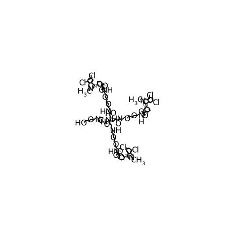 CN1Cc2c(Cl)cc(Cl)cc2[C@H](c2cccc(S(=O)(=O)NCCOCCOCCNCCCC(CCC(=O)NCCOCCOCCNS(=O)(=O)c3cccc([C@@H]4CN(C)Cc5c(Cl)cc(Cl)cc54)c3)(CCC(=O)NCCOCCOCCNS(=O)(=O)c3cccc([C@@H]4CN(C)Cc5c(Cl)cc(Cl)cc54)c3)NC(=O)N3CCN(CCOCCO)CC3)c2)C1